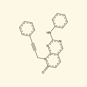 O=c1ccc2cnc(Nc3ccccc3)nc2n1CC#Cc1ccccc1